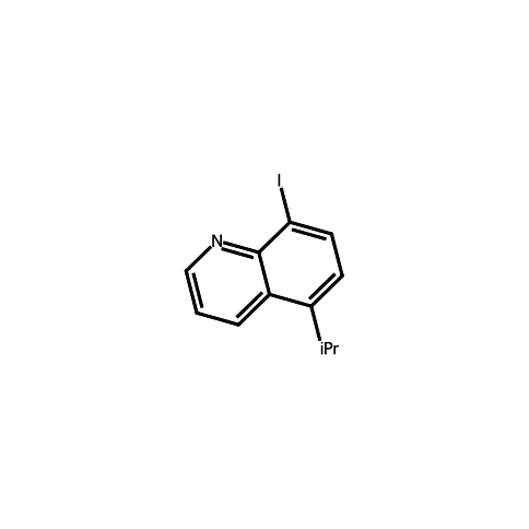 CC(C)c1ccc(I)c2ncccc12